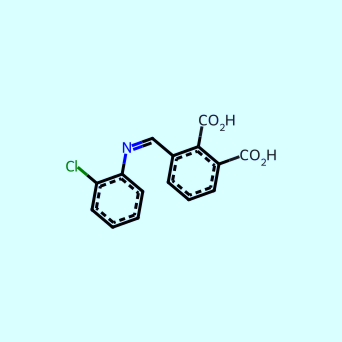 O=C(O)c1cccc(/C=N\c2ccccc2Cl)c1C(=O)O